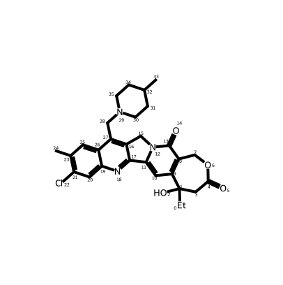 CCC1(O)CC(=O)OCc2c1cc1n(c2=O)Cc2c-1nc1cc(Cl)c(C)cc1c2CN1CCC(C)CC1